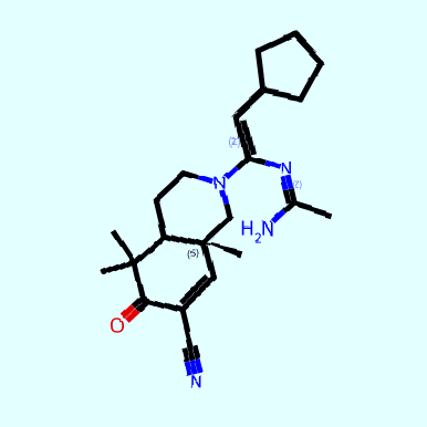 C/C(N)=N/C(=C\C1CCCC1)N1CCC2C(C)(C)C(=O)C(C#N)=C[C@@]2(C)C1